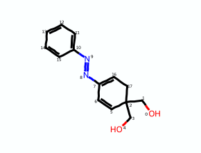 OCC1(CO)C=CC(N=Nc2ccccc2)=CC1